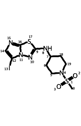 CS(=O)(=O)N1CCC(Nc2nn3c(I)cnc3s2)CC1